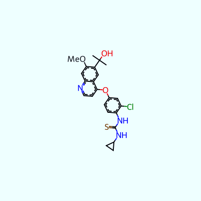 COc1cc2nccc(Oc3ccc(NC(=S)NC4CC4)c(Cl)c3)c2cc1C(C)(C)O